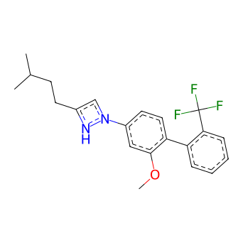 COc1cc(-n2cc(CCC(C)C)[nH]2)ccc1-c1ccccc1C(F)(F)F